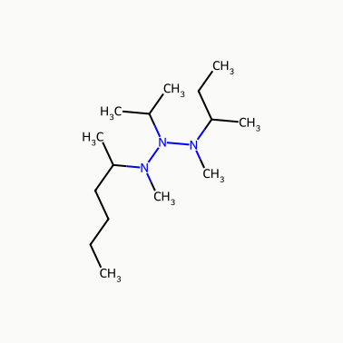 CCCCC(C)N(C)N(C(C)C)N(C)C(C)CC